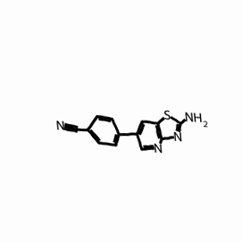 N#Cc1ccc(-c2cnc3nc(N)sc3c2)cc1